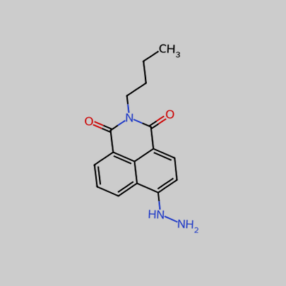 CCCCN1C(=O)c2cccc3c(NN)ccc(c23)C1=O